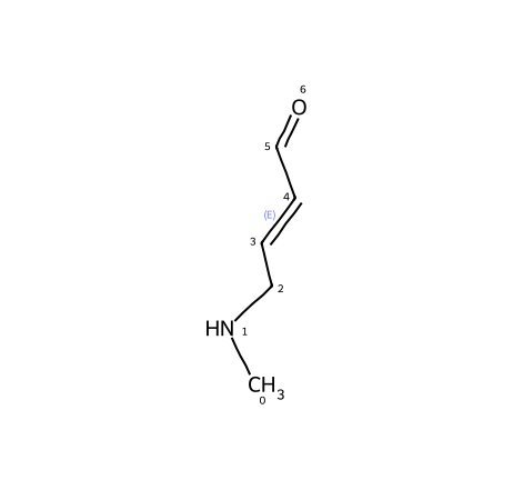 CNC/C=C/C=O